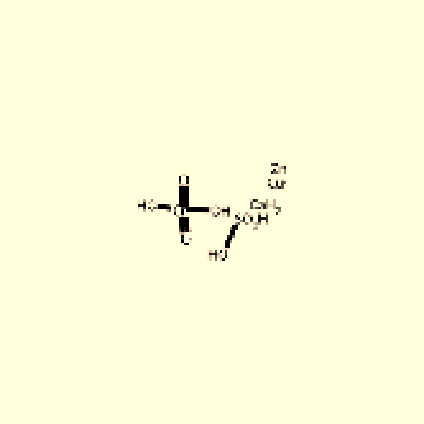 O=S(=O)(O)O.[CaH2].[Cu].[O]=[Cr](=[O])([OH])[OH].[Zn]